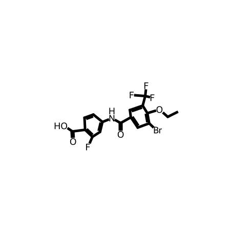 CCOc1c(Br)cc(C(=O)Nc2ccc(C(=O)O)c(F)c2)cc1C(F)(F)F